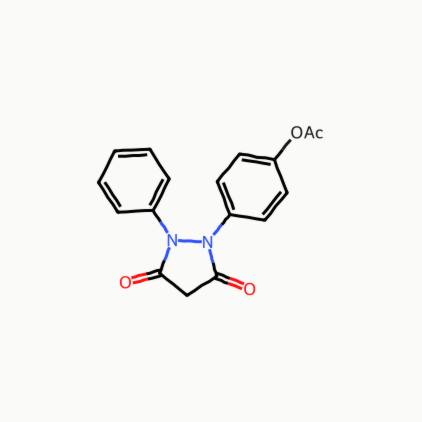 CC(=O)Oc1ccc(N2C(=O)CC(=O)N2c2ccccc2)cc1